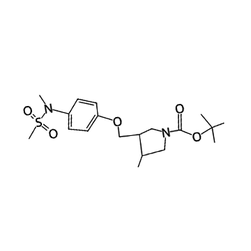 CC1CN(C(=O)OC(C)(C)C)CC1COc1ccc(N(C)S(C)(=O)=O)cc1